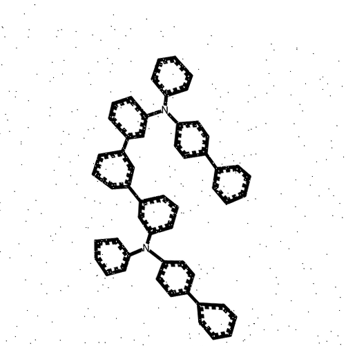 c1ccc(-c2ccc(N(c3ccccc3)c3cccc(-c4cccc(-c5cccc(N(c6ccccc6)c6ccc(-c7ccccc7)cc6)c5)c4)c3)cc2)cc1